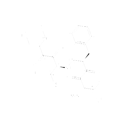 CN[C@H](C(=O)C(=O)[C@H](Cc1ccccc1)NN[C@H](C(=O)C(=O)[C@H](CO)NS)[C@@H](C)O)[C@@H](C)O